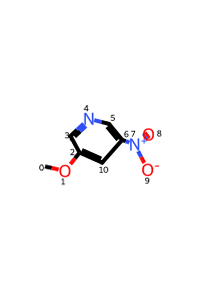 COc1[c]ncc([N+](=O)[O-])c1